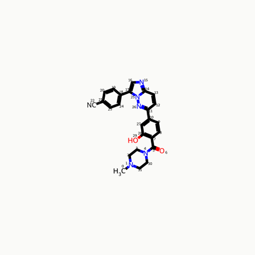 CN1CCN(C(=O)c2ccc(-c3ccc4ncc(-c5ccc(C#N)cc5)n4n3)cc2O)CC1